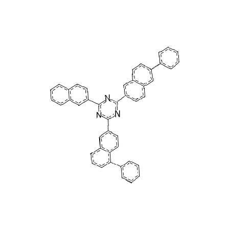 c1ccc(-c2ccc3cc(-c4nc(-c5ccc6ccccc6c5)nc(-c5ccc6c(-c7ccccc7)cccc6c5)n4)ccc3c2)cc1